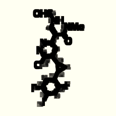 CNC(=O)/C(=C\NC=O)c1cc(C2CC2c2cc(F)c(I)cc2F)c(Cl)nn1